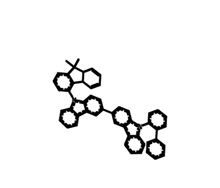 CC1(C)c2cccc(-n3c4ccccc4c4cc(-c5ccc6c(c5)c5ccccc5n6-c5ccccc5-c5ccccc5)ccc43)c2C2C=CC=CC21